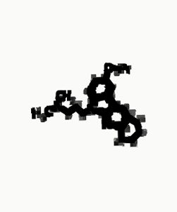 CC(C)Oc1ccc2c(c1)c1cc3c(nc1n2CCCN(C)C)CCCC3